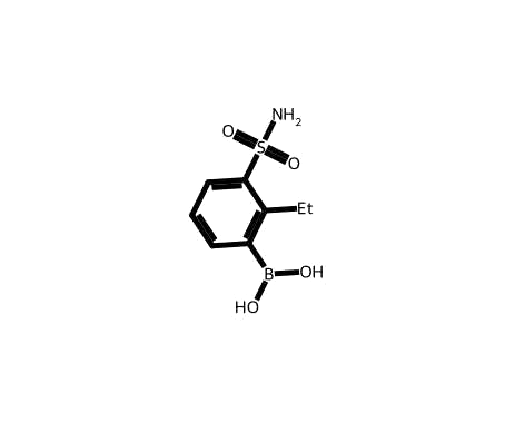 CCc1c(B(O)O)cccc1S(N)(=O)=O